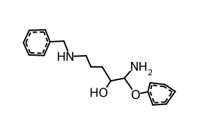 NC(Oc1ccccc1)C(O)CCCNCc1ccccc1